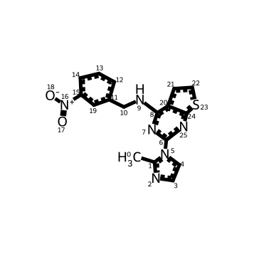 Cc1nccn1-c1nc(NCc2cccc([N+](=O)[O-])c2)c2ccsc2n1